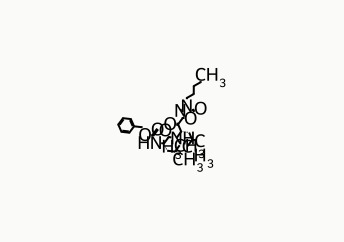 CCCCCn1nc(C(=O)[C@H](CC(C)C)NC(=O)[C@H](CC(C)C)NC(=O)OCc2ccccc2)oc1=O